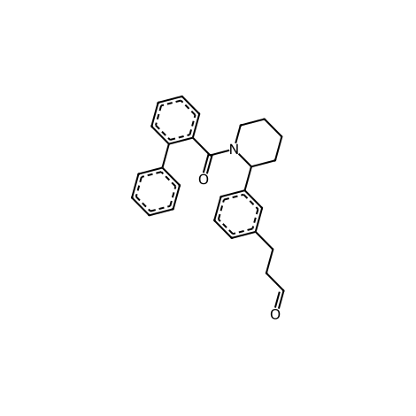 O=CCCc1cccc(C2CCCCN2C(=O)c2ccccc2-c2ccccc2)c1